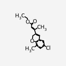 CCOC(=O)C=C(C)C1=Cc2cc(Cl)cc(C)c2OC1